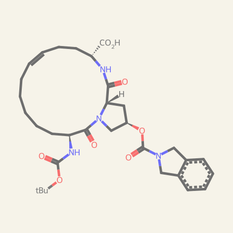 CC(C)(C)OC(=O)N[C@H]1CCCCCC=CCC[C@H](C(=O)O)NC(=O)[C@@H]2C[C@@H](OC(=O)N3Cc4ccccc4C3)CN2C1=O